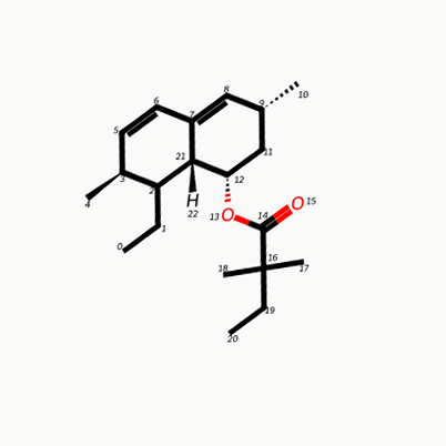 CCC1[C@@H](C)C=CC2=C[C@H](C)C[C@H](OC(=O)C(C)(C)CC)[C@@H]21